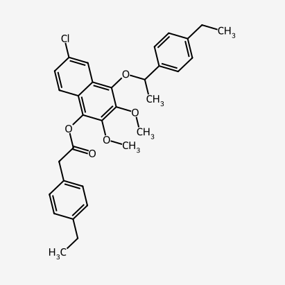 CCc1ccc(CC(=O)Oc2c(OC)c(OC)c(OC(C)c3ccc(CC)cc3)c3cc(Cl)ccc23)cc1